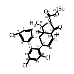 C[C@@H]1[C@H]2[C@@H](c3ccc(Cl)cc3)[C@H](c3ccc(Cl)cc3Cl)C=C[C@@H]2C(=O)N1C(=O)OC(C)(C)C